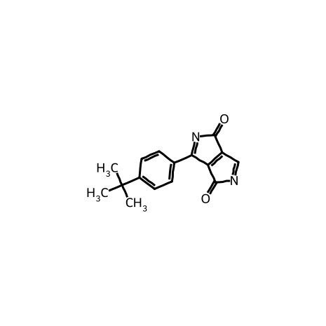 CC(C)(C)c1ccc(-c2nc(=O)c3cnc(=O)c2=3)cc1